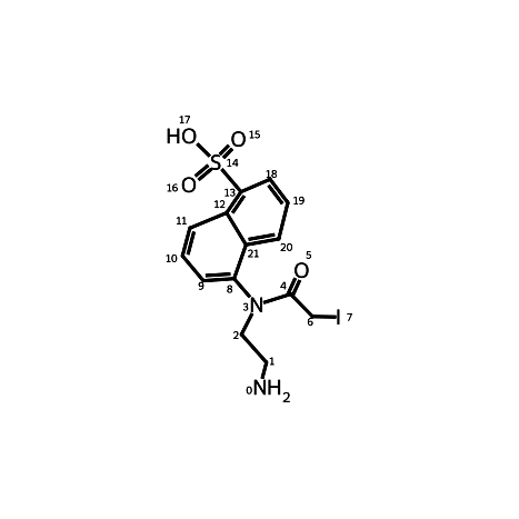 NCCN(C(=O)CI)c1cccc2c(S(=O)(=O)O)cccc12